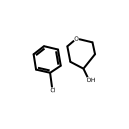 Clc1ccccc1.OC1CCOCC1